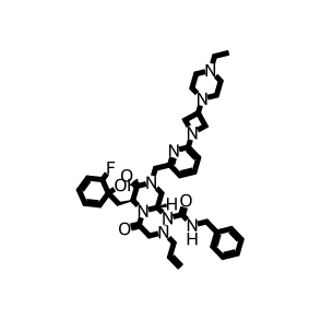 C=CCN1CC(=O)N2[C@@H](CC3(O)C=CC=CC3F)C(=O)N(Cc3cccc(N4CC(N5CCN(CC)CC5)C4)n3)C[C@@H]2N1C(=O)NCc1ccccc1